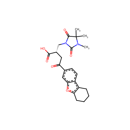 CN1C(=O)N(C[C@H](CC(=O)c2ccc3c4c(oc3c2)CCCC4)C(=O)O)C(=O)C1(C)C